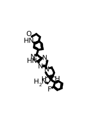 NC[C@]1(c2ccccc2F)[C@@H]2CCN(c3cnc4c(-c5ccc6c(c5)NC(=O)CC6)n[nH]c4n3)C[C@@H]21